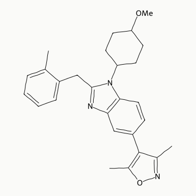 COC1CCC(n2c(Cc3ccccc3C)nc3cc(-c4c(C)noc4C)ccc32)CC1